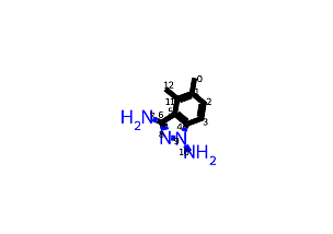 Cc1ccc2c(c(N)nn2N)c1C